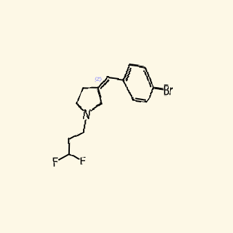 FC(F)CCN1CC/C(=C/c2ccc(Br)cc2)C1